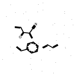 C=CC(=O)C(=C)C#N.C=CC=C.C=Cc1ccccc1